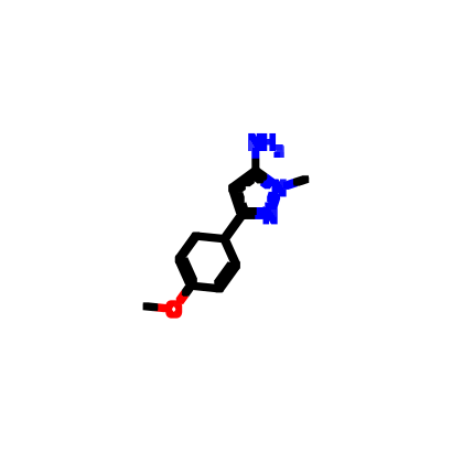 COC1=CCC(c2cc(N)n(C)n2)C=C1